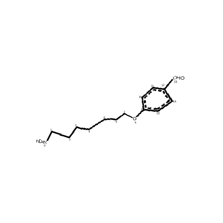 CCCCCCCCCCCCCCCCCOc1ccc(C=O)cc1